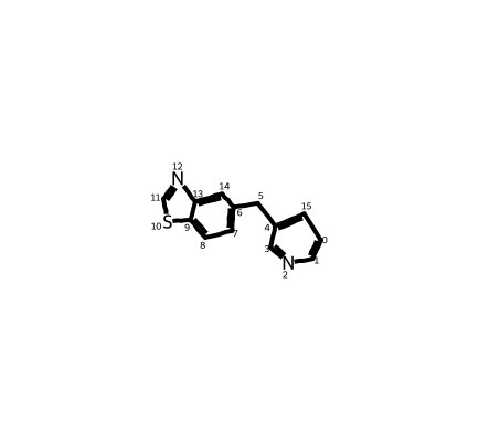 c1cncc(Cc2ccc3scnc3c2)c1